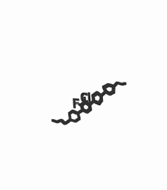 CC/C=C/C1CC=C(c2ccc(-c3ccc(-c4ccc(CCC)cc4)cc3)c(Cl)c2F)CC1